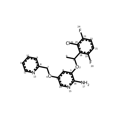 CC(Oc1cc(OCc2ccccn2)cnc1N)c1c(F)ccc(F)c1Cl